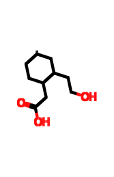 O=C(O)CC1CC[CH]CC1CCO